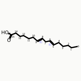 CCCCC/C=C/C/C=C/CCCCCC(=O)O